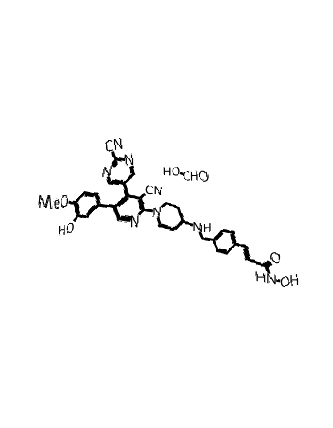 COc1ccc(-c2cnc(N3CCC(NCc4ccc(/C=C/C(=O)NO)cc4)CC3)c(C#N)c2-c2cnc(C#N)nc2)cc1O.O=CO